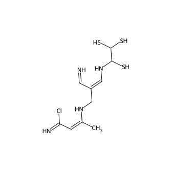 C/C(=C/C(=N)Cl)NC/C(C=N)=C/NC(S)C(S)S